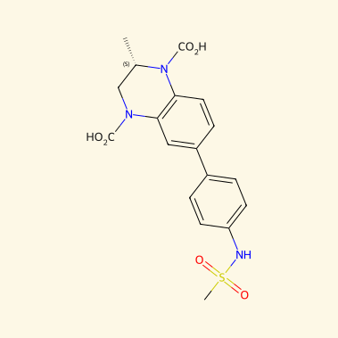 C[C@H]1CN(C(=O)O)c2cc(-c3ccc(NS(C)(=O)=O)cc3)ccc2N1C(=O)O